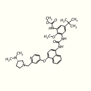 COC(=O)Nc1cc(C(C)(C)C)cc(NC(=O)Nc2ccc(Oc3ccnc(CN4CC[C@H](N(C)C)C4)c3)c3ccccc23)c1OC